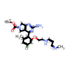 C/N=C\C=C/NCCOc1cc(Cl)cc(C)c1-c1nc(N)nc2c1CN(C(=O)OC(C)(C)C)C2